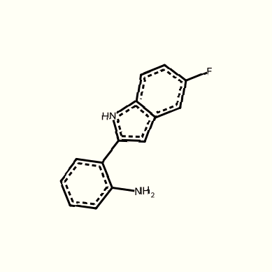 Nc1ccccc1-c1cc2cc(F)ccc2[nH]1